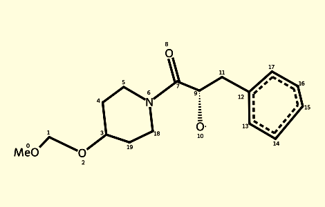 COCOC1CCN(C(=O)[C@@H]([O])Cc2ccccc2)CC1